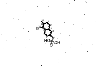 O=P(O)(O)Cc1ccc2c(Br)c(I)ccc2c1